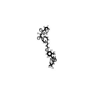 C[C@H](NC(=O)c1ccco1)C(=O)N1CCCN(CCCOc2ccc(-c3noc(CC(C)(C)C)n3)c(F)c2)CC1